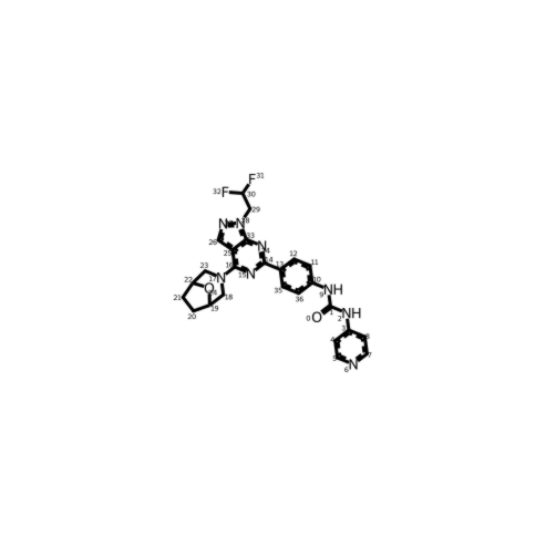 O=C(Nc1ccncc1)Nc1ccc(-c2nc(N3CC4CCC(C3)O4)c3cnn(CC(F)F)c3n2)cc1